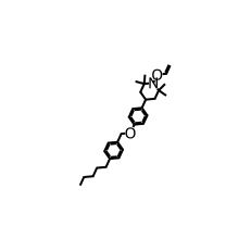 C=CON1C(C)(C)CC(c2ccc(OCc3ccc(CCCCC)cc3)cc2)CC1(C)C